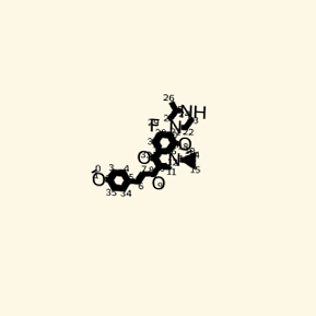 COc1ccc(/C=C/C(=O)c2cn(C3CC3)c3c(OC)c(N4CCNC(C)C4)c(F)cc3c2=O)cc1